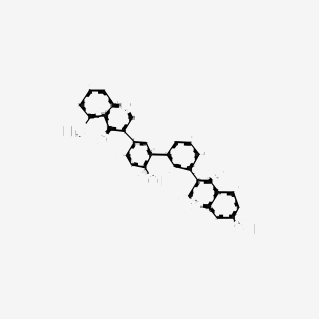 O=c1c(-c2cccc(-c3cc(-c4coc5cccc(O)c5c4=O)ccc3O)c2)coc2cc(O)ccc12